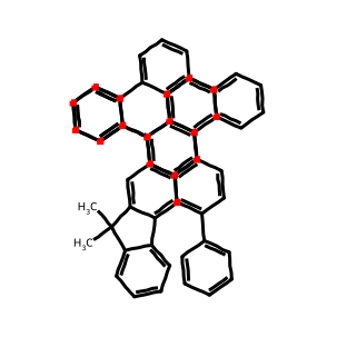 CC1(C)c2ccccc2-c2ccc(N(c3ccccc3-c3ccc(-c4ccccc4)cc3)c3ccccc3-c3cccc(-c4ccccc4)c3-c3ccccc3-c3ccccc3)cc21